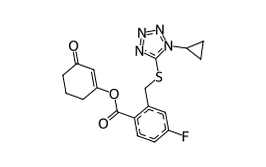 O=C1C=C(OC(=O)c2ccc(F)cc2CSc2nnnn2C2CC2)CCC1